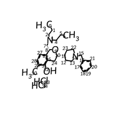 CCCN(CCC)C[C@@H]1O[C@H](C2CCN(Cc3ccccc3)CC2)Cc2c1ccc(C)c2O.Cl.Cl